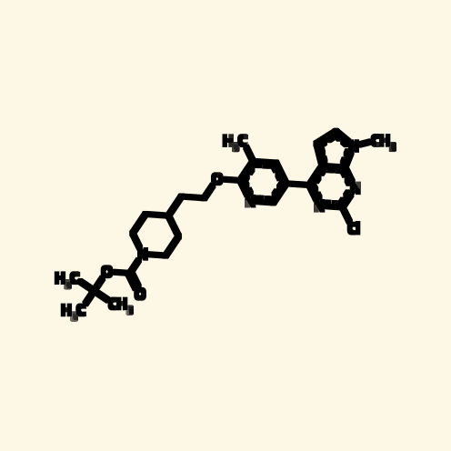 Cc1cc(-c2nc(Cl)nc3c2ccn3C)cnc1OCCC1CCN(C(=O)OC(C)(C)C)CC1